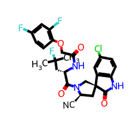 CC(C)(F)C[C@H](NC(=O)COc1ccc(F)cc1F)C(=O)N1C[C@]2(C[C@H]1C#N)C(=O)Nc1ccc(Cl)cc12